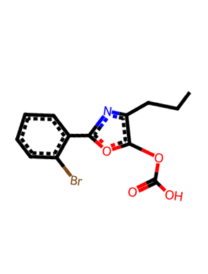 CCCc1nc(-c2ccccc2Br)oc1OC(=O)O